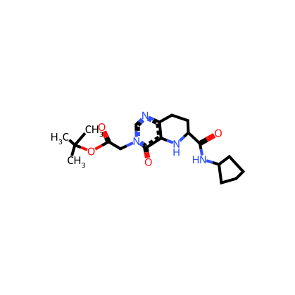 CC(C)(C)OC(=O)Cn1cnc2c(c1=O)NC(C(=O)NC1CCCC1)CC2